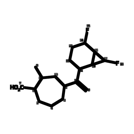 C=C(C1CCCC(C(=O)O)C(C)C1)C1CCC(F)C2C(F)C12